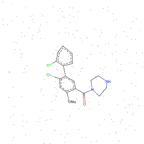 COc1cc(Cl)c(-c2ccccc2Cl)cc1C(=O)N1CCNCC1